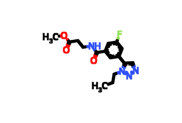 CCCn1nncc1-c1cc(F)cc(C(=O)NCCC(=O)OC)c1